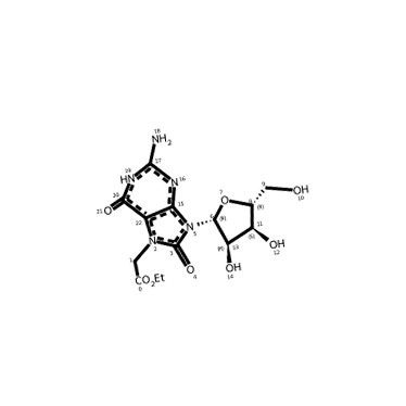 CCOC(=O)Cn1c(=O)n([C@@H]2O[C@H](CO)[C@@H](O)[C@H]2O)c2nc(N)[nH]c(=O)c21